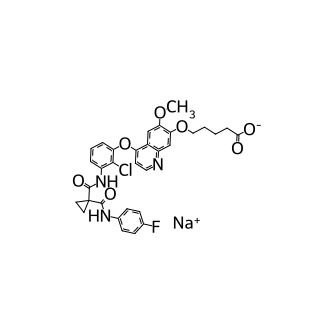 COc1cc2c(Oc3cccc(NC(=O)C4(C(=O)Nc5ccc(F)cc5)CC4)c3Cl)ccnc2cc1OCCCCC(=O)[O-].[Na+]